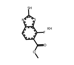 COC(=O)c1ccc2nc(S)sc2c1F.[KH]